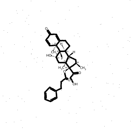 C[C@@H]1C[C@H]2[C@@H]3CCC4=CC(=O)C=C[C@]4(C)[C@@]3(F)[C@@H](O)C[C@]2(C)[C@@]1(OC(=O)CCc1ccccc1)C(=O)CO